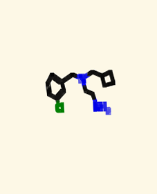 NCCN(Cc1cccc(Cl)c1)CC1CCC1